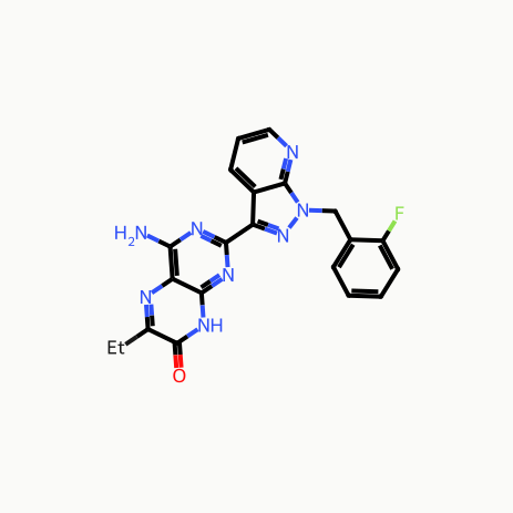 CCc1nc2c(N)nc(-c3nn(Cc4ccccc4F)c4ncccc34)nc2[nH]c1=O